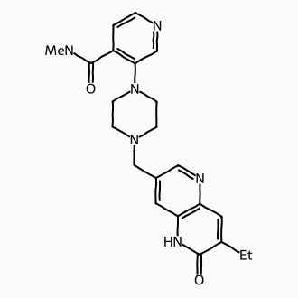 CCc1cc2ncc(CN3CCN(c4cnccc4C(=O)NC)CC3)cc2[nH]c1=O